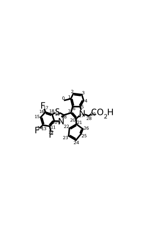 Cc1cccc2c1c(-c1nc3c(F)c(F)cc(F)c3s1)c(-c1ccccc1)n2CC(=O)O